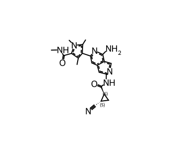 CNC(=O)c1c(C)c(-c2cc3cc(NC(=O)[C@H]4C[C@@H]4C#N)ncc3c(N)n2)c(C)n1C